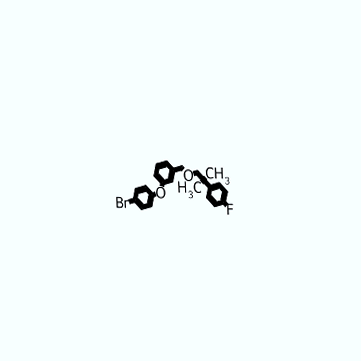 CC(C)(COCc1cccc(Oc2ccc(Br)cc2)c1)c1ccc(F)cc1